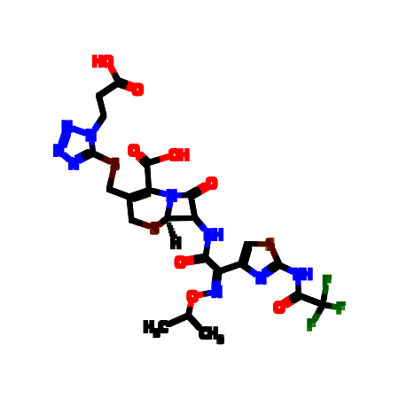 CC(C)O/N=C(\C(=O)NC1C(=O)N2C(C(=O)O)=C(CSc3nnnn3CCC(=O)O)CS[C@H]12)c1csc(NC(=O)C(F)(F)F)n1